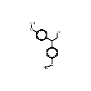 CC(C)CC(c1ccc(OC#N)cc1)c1ccc(OC#N)cc1